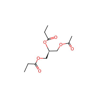 CCC(=O)OC[C@H](COC(C)=O)OC(=O)CC